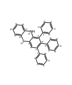 c1ccc(-c2cc3c(c(-c4ccccc4)c2-c2ccccc2)Nc2ccccc2S3)cc1